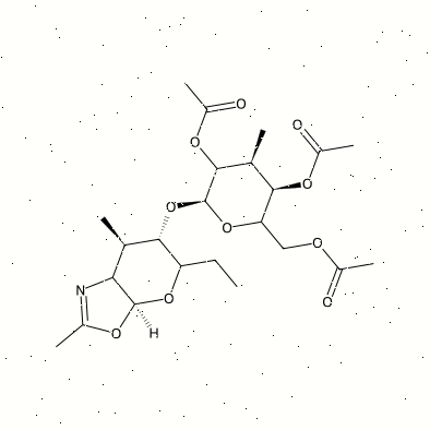 CCC1O[C@H]2OC(C)=NC2[C@@H](C)[C@@H]1O[C@@H]1OC(COC(C)=O)[C@H](OC(C)=O)[C@H](C)C1OC(C)=O